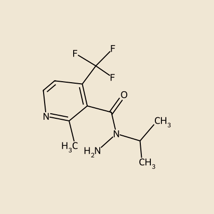 Cc1nccc(C(F)(F)F)c1C(=O)N(N)C(C)C